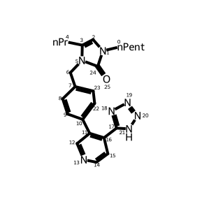 CCCCCn1cc(CCC)n(Cc2ccc(-c3cnccc3-c3nnn[nH]3)cc2)c1=O